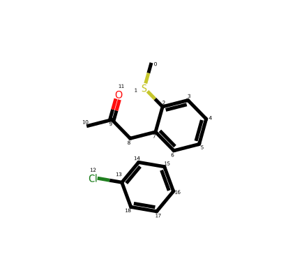 CSc1ccccc1CC(C)=O.Clc1ccccc1